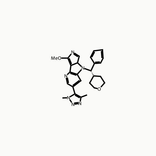 COC1=C2c3ncc(-c4c(C)nnn4C)cc3N([C@H](c3ccccc3)C3CCOCC3)C2C=N1